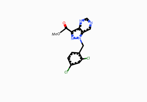 COC(=O)c1nn(Cc2ccc(Cl)cc2Cl)c2cncnc12